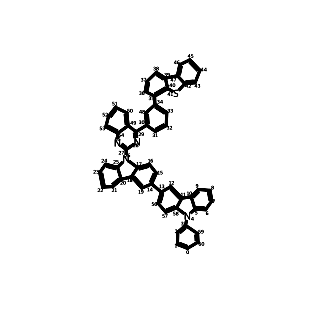 c1ccc(-n2c3ccccc3c3cc(-c4ccc5c(c4)c4ccccc4n5-c4nc(-c5cccc(-c6cccc7c6sc6ccccc67)c5)c5ccccc5n4)ccc32)cc1